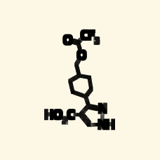 O=C(O)c1c[nH]nc1C1CCC(COC(=O)C(F)(F)F)CC1